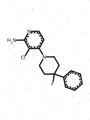 Nc1nccc(N2CCC(F)(c3ccccc3)CC2)c1Cl